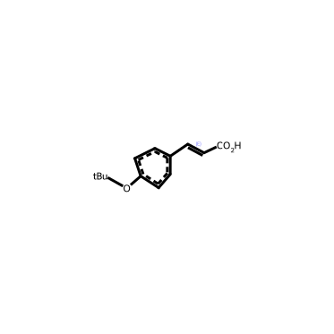 CC(C)(C)Oc1ccc(/C=C/C(=O)O)cc1